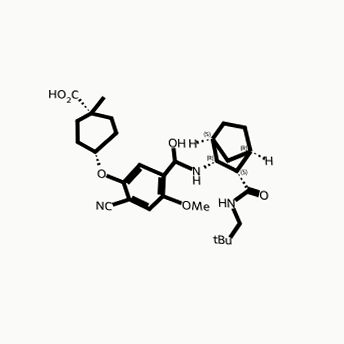 COc1cc(C#N)c(O[C@H]2CC[C@@](C)(C(=O)O)CC2)cc1C(O)N[C@@H]1[C@H]2CC[C@H](C2)[C@@H]1C(=O)NCC(C)(C)C